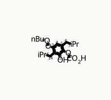 CCCCOOc1cc(CC(C)C)c(OC(=O)O)c(O)c1CC(C)C